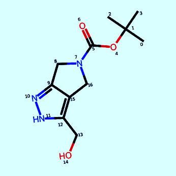 CC(C)(C)OC(=O)N1Cc2n[nH]c(CO)c2C1